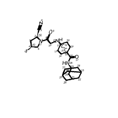 N#C[C@@H]1C[C@H](F)CN1C(=O)CNC12CCC(C(=O)NC34CC5CC(CC(C5)C3)C4)(CC1)CC2